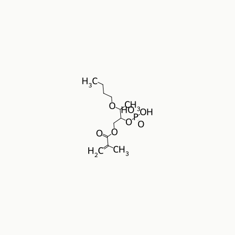 C=C(C)C(=O)OCC(OP(=O)(O)O)C(C)OCCCC